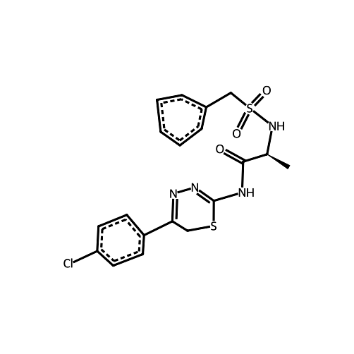 C[C@H](NS(=O)(=O)Cc1ccccc1)C(=O)NC1=NN=C(c2ccc(Cl)cc2)CS1